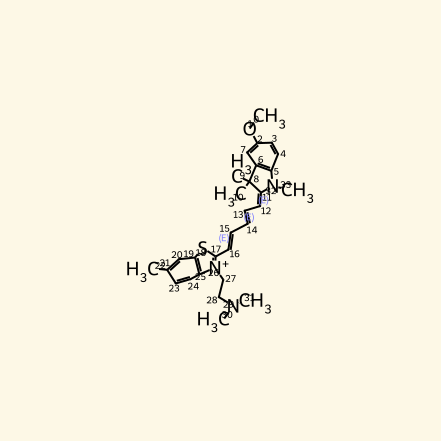 COc1ccc2c(c1)C(C)(C)\C(=C/C=C/C=C/c1sc3cc(C)ccc3[n+]1CCN(C)C)N2C